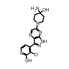 NC1(O)CCN(c2cnc3c(-c4ccnc(O)c4Cl)n[nH]c3n2)CC1